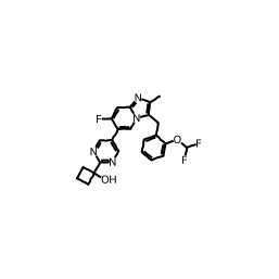 Cc1nc2cc(F)c(-c3cnc(C4(O)CCC4)nc3)cn2c1Cc1ccccc1OC(F)F